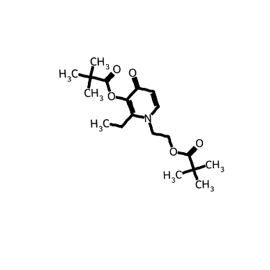 CCc1c(OC(=O)C(C)(C)C)c(=O)ccn1CCOC(=O)C(C)(C)C